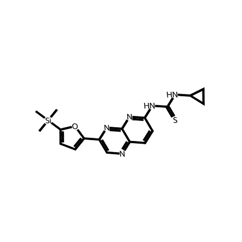 C[Si](C)(C)c1ccc(-c2cnc3ccc(NC(=S)NC4CC4)nc3n2)o1